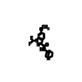 COc1ccc2c(C(=O)NC3CN4CCC3CC4)nn(C(F)F)c2c1